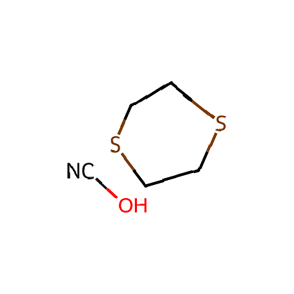 C1CSCCS1.N#CO